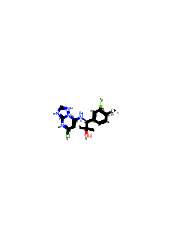 CC(C)(O)[C@@H](Nc1cc(Cl)nc2ncnn12)c1ccc(C(F)(F)F)c(F)c1